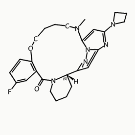 CN1CCCCOc2ccc(F)cc2C(=O)N2CCCC[C@H]2c2cc3nc(N4CCC4)cc1n3n2